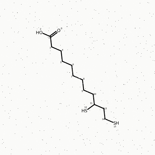 O=C(O)CCCCCCCCC(S)CCS